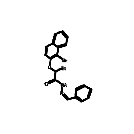 CCC(Oc1ccc2ccccc2c1Br)C(=O)N/N=C\c1ccccc1